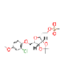 COc1ccc(OC[C@H]2O[C@H](CCOS(C)(=O)=O)[C@@H]3OC(C)(C)O[C@@H]32)c(Cl)c1